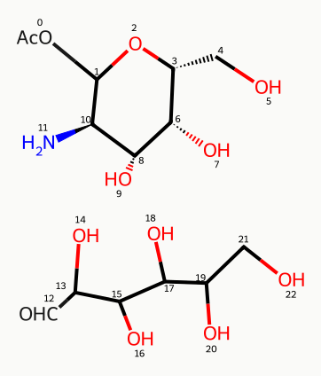 CC(=O)OC1O[C@H](CO)[C@H](O)[C@H](O)[C@H]1N.O=CC(O)C(O)C(O)C(O)CO